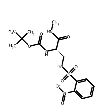 CNC(=O)[C@H](CNS(=O)(=O)c1ccccc1[N+](=O)[O-])NC(=O)OC(C)(C)C